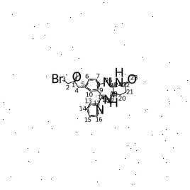 O=C(CBr)Cc1ccc2c(c1)C(c1ccccn1)=N[C@H]1CCC(=O)NC1=N2